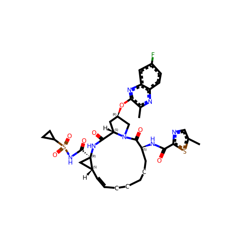 Cc1cnc(C(=O)N[C@H]2CCCCCC=C[C@@H]3C[C@@]3(C(=O)NS(=O)(=O)C3CC3)NC(=O)[C@@H]3C[C@@H](Oc4nc5cc(F)ccc5nc4C)CN3C2=O)s1